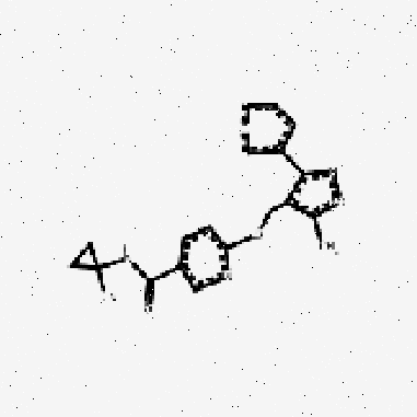 Cc1onc(-c2ccccc2)c1COc1ccc(C(=O)NC2(C#N)CC2)cn1